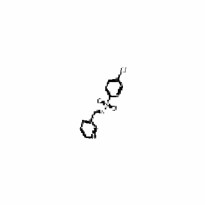 O=S(=O)(N=Cc1cccnc1)c1ccc(Cl)cc1